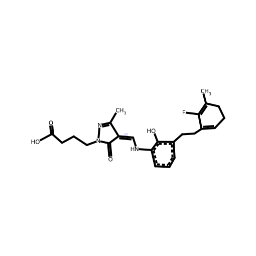 CC1=NN(CCCC(=O)O)C(=O)/C1=C\Nc1cccc(CCC2=CCCC(C)=C2F)c1O